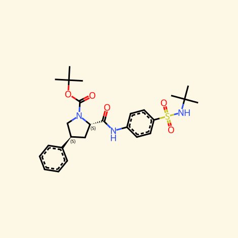 CC(C)(C)NS(=O)(=O)c1ccc(NC(=O)[C@@H]2C[C@@H](c3ccccc3)CN2C(=O)OC(C)(C)C)cc1